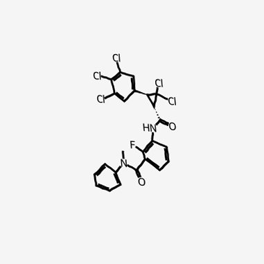 CN(C(=O)c1cccc(NC(=O)[C@@H]2[C@@H](c3cc(Cl)c(Cl)c(Cl)c3)C2(Cl)Cl)c1F)c1ccccc1